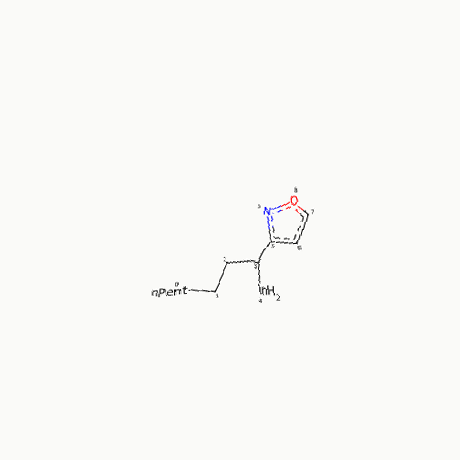 CCCCCCC[CH]([InH2])c1ccon1